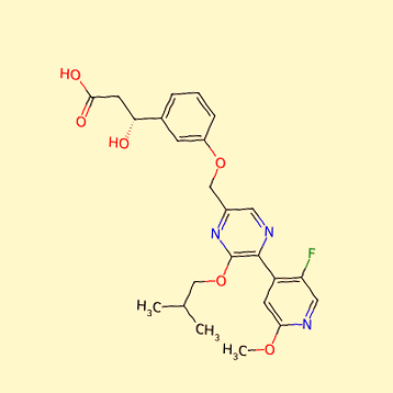 COc1cc(-c2ncc(COc3cccc([C@H](O)CC(=O)O)c3)nc2OCC(C)C)c(F)cn1